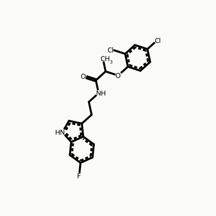 CC(Oc1ccc(Cl)cc1Cl)C(=O)NCCc1c[nH]c2cc(F)ccc12